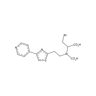 CC(C)CC(C(=O)O)N(CCc1nc(-c2ccncc2)cs1)C(=O)O